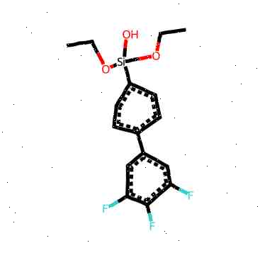 CCO[Si](O)(OCC)c1ccc(-c2cc(F)c(F)c(F)c2)cc1